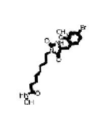 COc1cc(Br)ccc1/C=C1\NC(=O)N(CCCCCCCC(=O)NO)C1=O